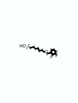 O=C(O)CCCCCCCOCc1cccc(F)c1F